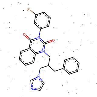 O=c1c2ccccc2n(CC(Cc2ccccc2)Cn2ccnc2)c(=O)n1-c1cccc(Br)c1